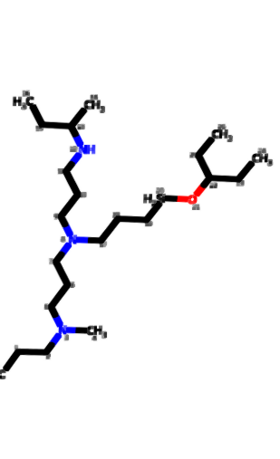 CCCN(C)CCCN(CCCNC(C)CC)CCC[SiH2]OC(CC)CC